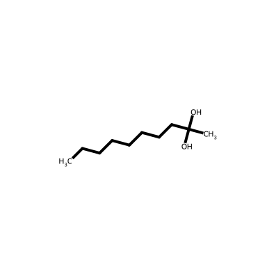 CCCCCCCCC(C)(O)O